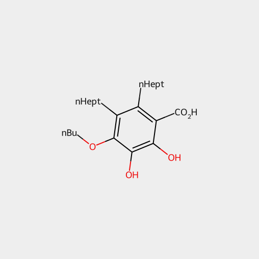 CCCCCCCc1c(CCCCCCC)c(C(=O)O)c(O)c(O)c1OCCCC